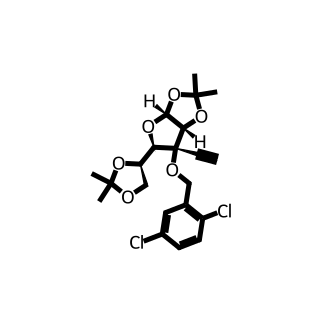 C#C[C@@]1(OCc2cc(Cl)ccc2Cl)[C@@H]([C@H]2COC(C)(C)O2)O[C@@H]2OC(C)(C)O[C@@H]21